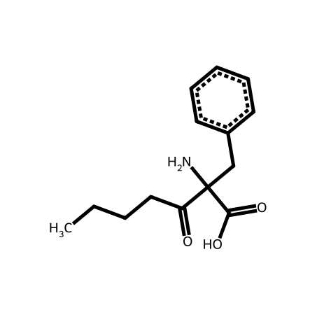 CCCCC(=O)C(N)(Cc1ccccc1)C(=O)O